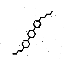 C=CC=CC1CCC(C2CCC(c3ccc(CCCCC)cc3)CC2)CC1